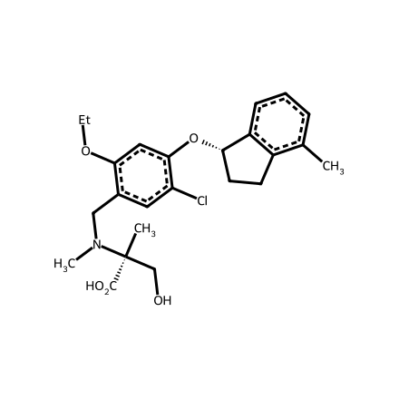 CCOc1cc(O[C@H]2CCc3c(C)cccc32)c(Cl)cc1CN(C)[C@@](C)(CO)C(=O)O